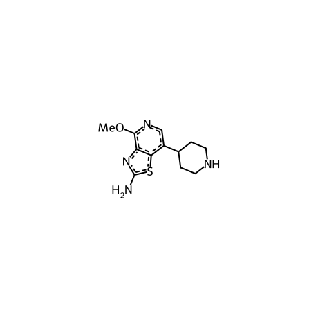 COc1ncc(C2CCNCC2)c2sc(N)nc12